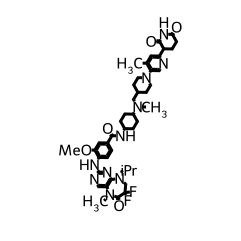 COc1cc(C(=O)NC2CCC(N(C)CC3CCN(c4cnc(C5CCC(=O)NC5=O)cc4C)CC3)CC2)ccc1Nc1ncc2c(n1)N(C(C)C)CC(F)(F)C(=O)N2C